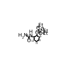 CCO[Si](OCC)(OCC)Oc1ccccc1NC(N)=O